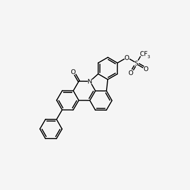 O=c1c2ccc(-c3ccccc3)cc2c2cccc3c4cc(OS(=O)(=O)C(F)(F)F)ccc4n1c23